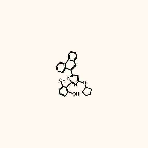 Oc1cccc(O)c1-c1nc(OC2CCCC2)cc(-c2cc3ccccc3c3ccccc23)n1